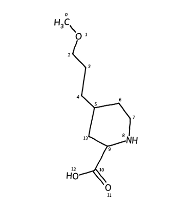 COCCCC1CCNC(C(=O)O)C1